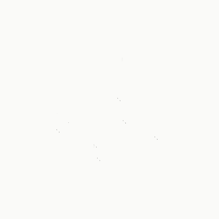 CC1(C)CC(n2cc(-c3ccnc4ccc(N5CCCC5c5cc(F)ccc5F)nc34)cn2)CCN1